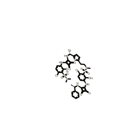 CC[C@@H](Nc1c(Nc2ccc(Cl)c(S(=O)(=O)N(C)C)c2O)c(=O)c1=O)c1ccc(CCN(C)S(=O)(=O)c2c(Cl)ccc(Nc3c(N[C@H](C)c4ccccc4)c(=O)c3=O)c2O)s1